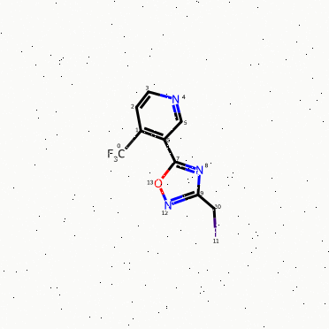 FC(F)(F)c1ccncc1-c1nc(CI)no1